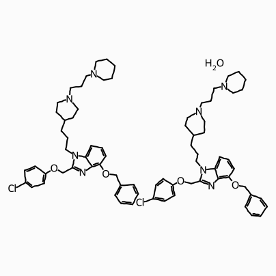 Clc1ccc(OCc2nc3c(OCc4ccccc4)cccc3n2CCCC2CCN(CCCN3CCCCC3)CC2)cc1.Clc1ccc(OCc2nc3c(OCc4ccccc4)cccc3n2CCCC2CCN(CCCN3CCCCC3)CC2)cc1.O